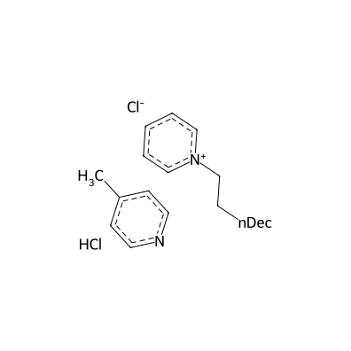 CCCCCCCCCCCC[n+]1ccccc1.Cc1ccncc1.Cl.[Cl-]